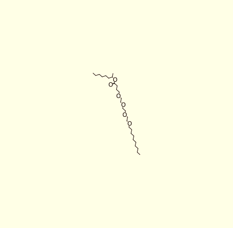 CCCCCCCCCCOCCOCCOCCOCCCC(=O)OC(C)CCCCCC